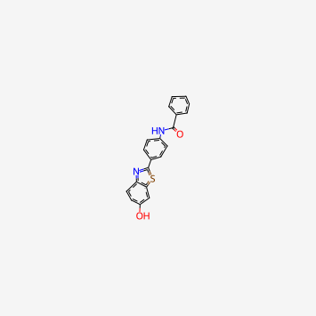 O=C(Nc1ccc(-c2nc3ccc(O)cc3s2)cc1)c1ccccc1